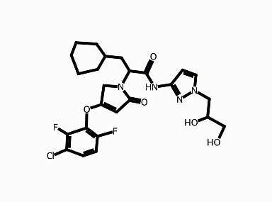 O=C(Nc1ccn(CC(O)CO)n1)C(CC1CCCCC1)N1CC(Oc2c(F)ccc(Cl)c2F)=CC1=O